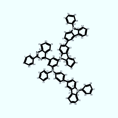 c1ccc(-c2nc(-c3cc(N(c4ccccc4)c4ccc(-c5ccc6c(c5)c5ccccc5n6-c5ccccc5)cc4)cc(-n4c5ccccc5c5cc(-c6ccc7c(c6)c6ccccc6n7-c6ccccc6)ccc54)c3)c3ccccc3n2)cc1